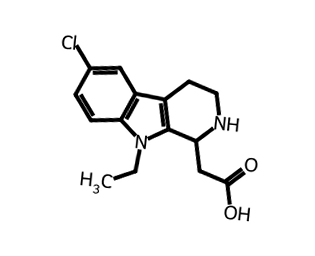 CCn1c2c(c3cc(Cl)ccc31)CCNC2CC(=O)O